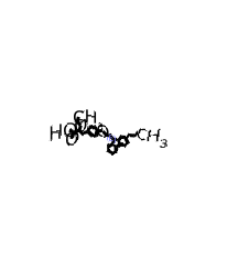 CCCCc1ccc2c(c1)/C(=C/COc1ccc(CC(OCC)C(=O)O)cc1)c1ccccc1-2